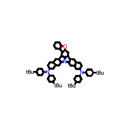 CC(C)(C)c1ccc(N(C2=CCC(C(C)(C)C)C=C2)c2ccc3cc4c5cc6oc7ccccc7c6c6c7cc8ccc(N(c9ccc(C(C)(C)C)cc9)c9ccc(C(C)(C)C)cc9)cc8cc7n(c4cc3c2)c56)cc1